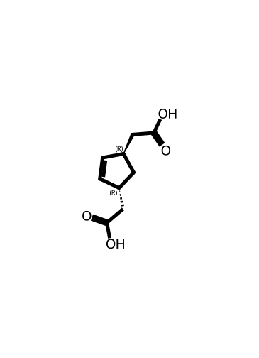 O=C(O)C[C@@H]1C=C[C@@H](CC(=O)O)C1